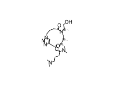 C[C@H]1CN([C@@H](C)CO)C(=O)CCCn2cc(nn2)CO[C@H]1CN(C)C(=O)CCCN(C)C